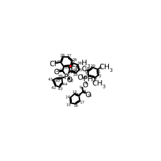 Cc1cc(C)c([PH](=O)OCC(=O)c2ccccc2)c(C)c1.O=C(c1c(Cl)cccc1Cl)P(=O)(c1ccccc1)c1ccccc1